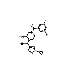 N=C1CN(C(=O)c2cc(F)cc(F)c2)CCN1C(=N)c1nc(C2CC2)ns1